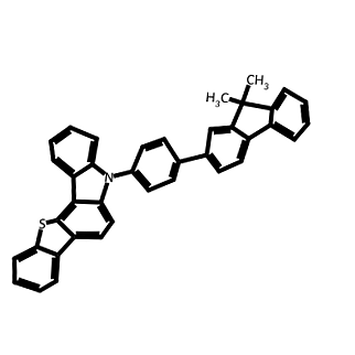 CC1(C)c2ccccc2-c2ccc(-c3ccc(-n4c5ccccc5c5c6sc7ccccc7c6ccc54)cc3)cc21